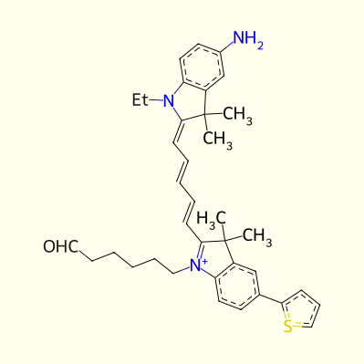 CCN1/C(=C/C=C/C=C/C2=[N+](CCCCCC=O)c3ccc(-c4cccs4)cc3C2(C)C)C(C)(C)c2cc(N)ccc21